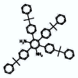 CC(C)(c1ccccc1)c1ccc(-c2c(N)c(-c3ccc(C(C)(C)c4ccccc4)cc3)c(-c3ccc(C(C)(C)c4ccccc4)cc3)c(-c3ccc(C(C)(C)c4ccccc4)cc3)c2N)cc1